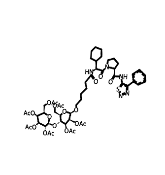 CC(=O)OC[C@H]1O[C@@H](O[C@H]2[C@H](OC(C)=O)[C@H](OC(C)=O)[C@H](OCCCCCC(=O)N[C@H](C(=O)N3CCC[C@H]3C(=O)Nc3snnc3-c3ccccc3)C3CCCCC3)O[C@@H]2COC(C)=O)[C@H](OC(C)=O)[C@@H](OC(C)=O)[C@H]1OC(C)=O